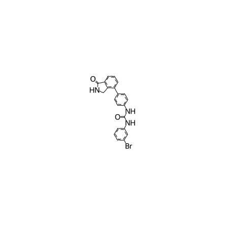 O=C(Nc1ccc(-c2cccc3c2CNC3=O)cc1)Nc1cccc(Br)c1